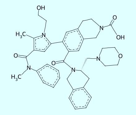 Cc1c(C(=O)N(C)c2ccccc2)cc(-c2cc3c(cc2C(=O)N2Cc4ccccc4C[C@H]2CN2CCOCC2)CN(C(=O)O)CC3)n1CCO